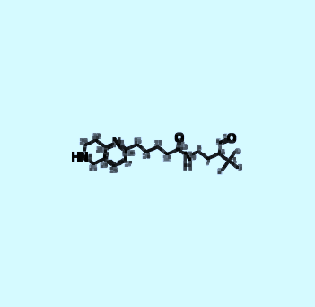 CC(C)(C)C(C=O)CCNC(=O)CCCCc1ccc2c(n1)CCNC2